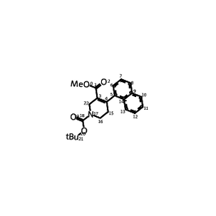 COC(=O)C1=C(c2cccc3ccccc23)CCN(C(=O)OC(C)(C)C)C1